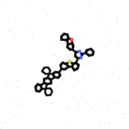 c1ccc(-c2nc(-c3ccc4c(c3)oc3ccccc34)cc(-c3cccc4c3sc3ccc(-c5ccc6c(c5)C5(CCCCC5)c5cc7c(cc5-6)C5(CCCCC5)c5ccccc5-7)cc34)n2)cc1